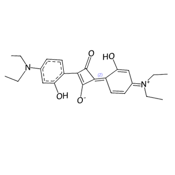 CCN(CC)c1ccc(C2=C([O-])/C(=C3\C=CC(=[N+](CC)CC)C=C3O)C2=O)c(O)c1